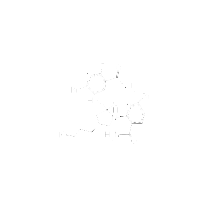 CC1(C)C[C@H](CCCO)CN1c1nc(Br)ccc1C(N)=O.NC(=O)c1ccc(Br)nc1F